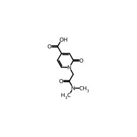 CN(C)C(=O)Cn1ccc(C(=O)O)cc1=O